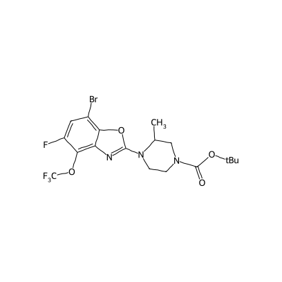 CC1CN(C(=O)OC(C)(C)C)CCN1c1nc2c(OC(F)(F)F)c(F)cc(Br)c2o1